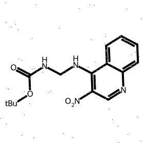 CC(C)(C)OC(=O)NCNc1c([N+](=O)[O-])cnc2ccccc12